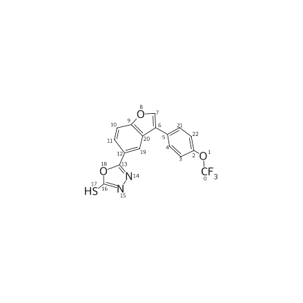 FC(F)(F)Oc1ccc(-c2coc3ccc(-c4nnc(S)o4)cc23)cc1